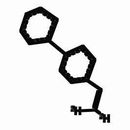 [2H]C([2H])=Cc1ccc(-c2ccccc2)cc1